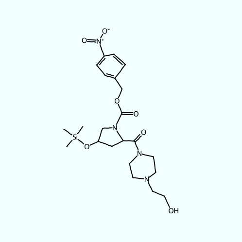 C[Si](C)(C)OC1CC(C(=O)N2CCN(CCO)CC2)N(C(=O)OCc2ccc([N+](=O)[O-])cc2)C1